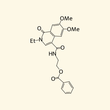 CCn1cc(C(=O)NCCOC(=O)c2ccccc2)c2cc(OC)c(OC)cc2c1=O